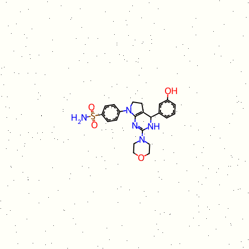 NS(=O)(=O)c1ccc(N2CCC3=C2N=C(N2CCOCC2)NC3c2cccc(O)c2)cc1